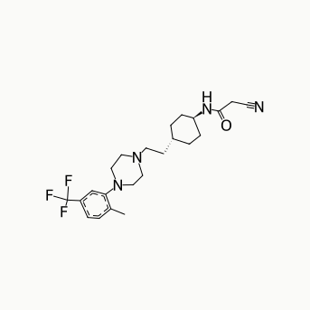 Cc1ccc(C(F)(F)F)cc1N1CCN(CC[C@H]2CC[C@H](NC(=O)CC#N)CC2)CC1